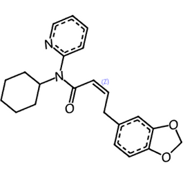 O=C(/C=C\Cc1ccc2c(c1)OCO2)N(c1ccccn1)C1CCCCC1